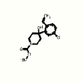 C=Cc1ccc(Cl)cc1C1(O)CCN(C(=O)OC(C)(C)C)CC1